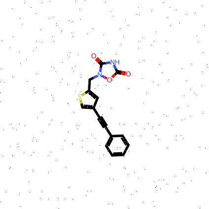 O=c1[nH]c(=O)n(Cc2cc(C#Cc3ccccc3)cs2)o1